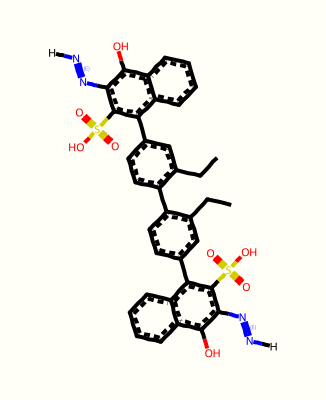 [H]/N=N/c1c(S(=O)(=O)O)c(-c2ccc(-c3ccc(-c4c(S(=O)(=O)O)c(/N=N/[H])c(O)c5ccccc45)cc3CC)c(CC)c2)c2ccccc2c1O